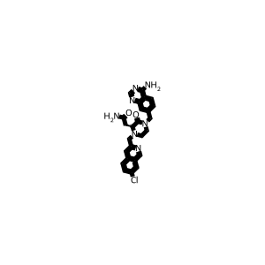 NC(=O)C[C@H]1C(=O)N(Cc2ccc3c(N)ncnc3c2)CCN1Cc1cc2ccc(Cl)cc2cn1